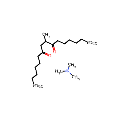 CCCCCCCCCCCCCCCC(=O)CC(C)C(=O)CCCCCCCCCCCCCCC.CN(C)C